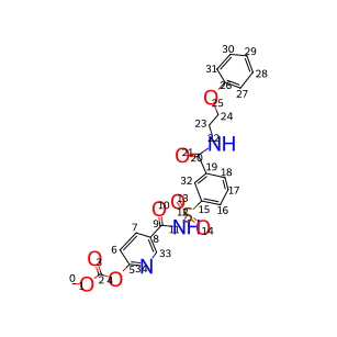 COC(=O)Oc1ccc(C(=O)NS(=O)(=O)c2cccc(C(=O)NCCOc3ccccc3)c2)cn1